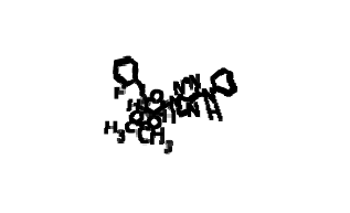 CC1(C)O[C@@H]2[C@H](O1)[C@@H](C=Cc1ccccc1F)O[C@H]2n1cnc2c(Nc3ccccc3)ncnc21